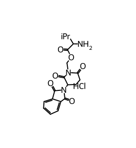 CC(C)C(N)C(=O)OCN1C(=O)CCC(N2C(=O)c3ccccc3C2=O)C1=O.Cl